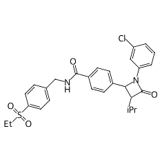 CCS(=O)(=O)c1ccc(CNC(=O)c2ccc(C3C(C(C)C)C(=O)N3c3cccc(Cl)c3)cc2)cc1